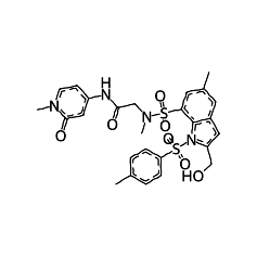 Cc1ccc(S(=O)(=O)n2c(CO)cc3cc(C)cc(S(=O)(=O)N(C)CC(=O)Nc4ccn(C)c(=O)c4)c32)cc1